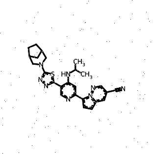 CC(C)Nc1cc(-c2ccc3cc(C#N)cnn23)ncc1-c1nnc(N2CC3CCC(C3)C2)s1